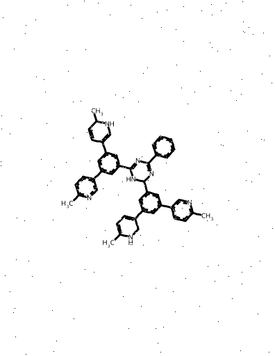 CC1=CC=C(c2cc(-c3ccc(C)nc3)cc(C3N=C(c4ccccc4)N=C(c4cc(C5=CNC(C)C=C5)cc(-c5ccc(C)nc5)c4)N3)c2)CN1